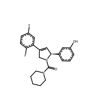 O=C(N1CCCCC1)N1CC(c2cc(F)ccc2F)=C[C@H]1c1cccc(O)c1